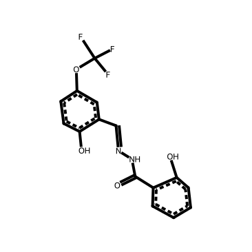 O=C(NN=Cc1cc(OC(F)(F)F)ccc1O)c1ccccc1O